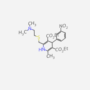 CCOC(=O)C1=C(C)NC(CSCCN(C)C)=C(C(=O)OCC)C1c1cccc([N+](=O)[O-])c1